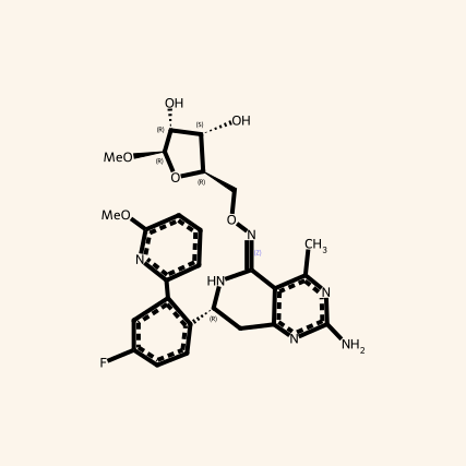 COc1cccc(-c2cc(F)ccc2[C@H]2Cc3nc(N)nc(C)c3/C(=N/OC[C@H]3O[C@@H](OC)[C@H](O)[C@@H]3O)N2)n1